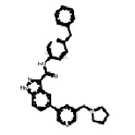 C=C(/C=C\C(=C/C)NC(=O)c1n[nH]c2ccc(-c3cncc(CN4CCCC4)c3)cc12)Cc1ccccc1